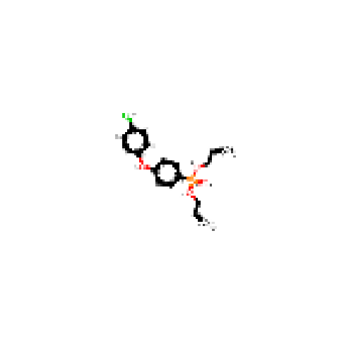 C=CCOP(=O)(OCC=C)c1ccc(Oc2ccc(Cl)cc2)cc1